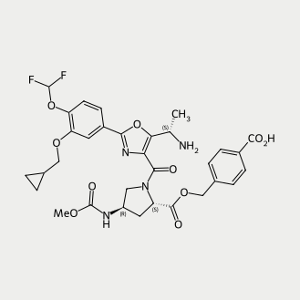 COC(=O)N[C@@H]1C[C@@H](C(=O)OCc2ccc(C(=O)O)cc2)N(C(=O)c2nc(-c3ccc(OC(F)F)c(OCC4CC4)c3)oc2[C@H](C)N)C1